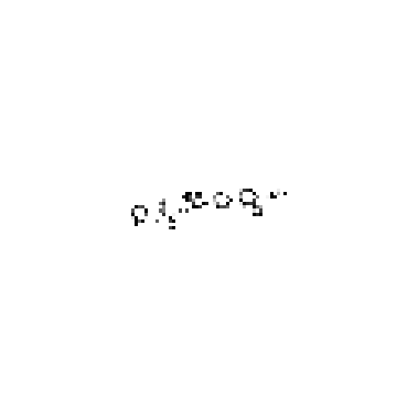 CCc1cc(-c2ccc(-c3cc(CCC(=O)NCc4cccnc4)[nH]n3)cc2)ccc1OC